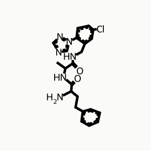 CC(NC(=O)C(N)CCc1ccccc1)C(=O)NCc1cc(Cl)ccc1-n1cncn1